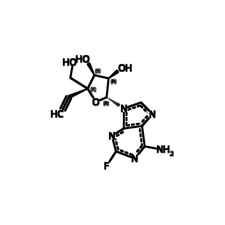 C#C[C@]1(CO)O[C@@H](n2cnc3c(N)nc(F)nc32)[C@H](O)[C@@H]1O